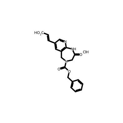 Cl.O=C(O)C=Cc1cnc2c(c1)CN(C(=O)OCc1ccccc1)CC(=O)N2